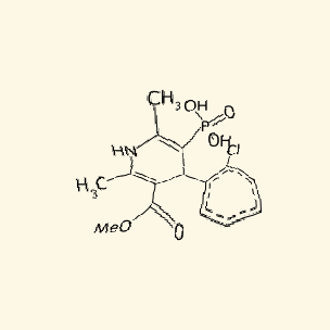 COC(=O)C1=C(C)NC(C)=C(P(=O)(O)O)C1c1ccccc1Cl